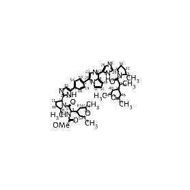 COC(=O)NC(C(=O)N1[C@@H](C)CC[C@H]1c1ncc(-c2ccc(-c3cnc(-c4cnc([C@@H]5CC[C@H](C)N5C(=O)[C@@H](C)C5C[C@@H](C)O[C@@H](C)C5)[nH]4)c4cccn34)cc2)[nH]1)C1C[C@@H](C)O[C@@H](C)C1